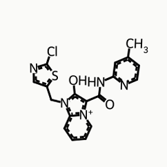 Cc1ccnc(NC(=O)c2c(O)n(Cc3cnc(Cl)s3)c3cccc[n+]23)c1